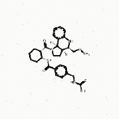 COC[C@@H]1Nc2ccccc2[C@H]2[C@@H]1CCN2C(=O)[C@H]1CCCC[C@H]1NC(=O)c1ccc(CNC(=O)O)cc1